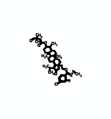 C=N/N=C(\OCCC12CCC3C(CCC4C3(C)CCC3C(C)C(OC(=O)CC(C)(C)C=O)CCC34C)C1=C(C(C)C)C(=O)C2)c1ccc(Cl)cc1F